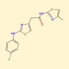 Cc1csc(NC(=O)Cc2csc(Nc3ccc(F)cc3)n2)n1